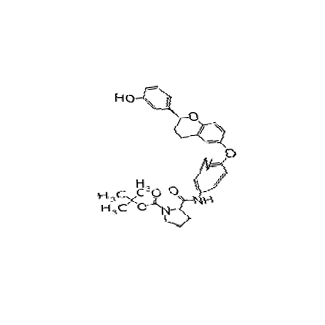 CC(C)(C)OC(=O)N1CCCC1C(=O)Nc1ccc(Oc2ccc3c(c2)CC[C@@H](c2cccc(O)c2)O3)nc1